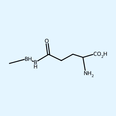 CBBC(=O)CCC(N)C(=O)O